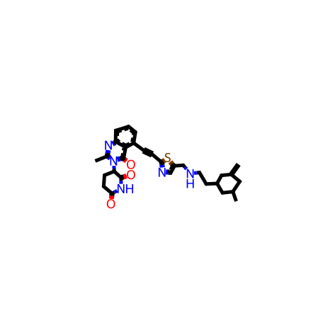 C=C1CC(C)CC(CCNCc2cnc(C#Cc3cccc4nc(C)n(C5CCC(=O)NC5=O)c(=O)c34)s2)C1